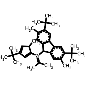 C[C](C)=[Zr]([C]1=CC(C(C)(C)C)=CC1C)[CH]1c2cc(C)c(C(C)(C)C)cc2-c2cc(C(C)(C)C)c(C)cc21